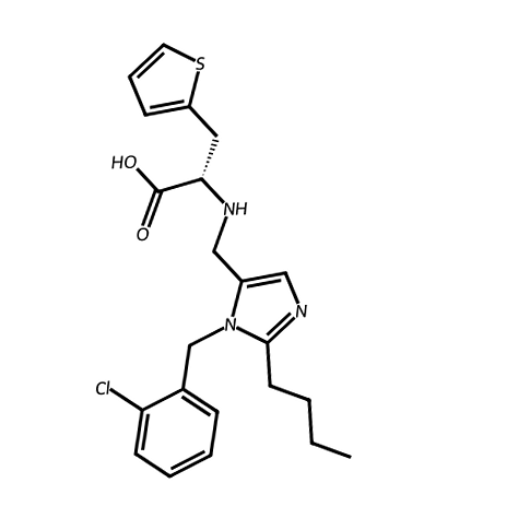 CCCCc1ncc(CN[C@@H](Cc2cccs2)C(=O)O)n1Cc1ccccc1Cl